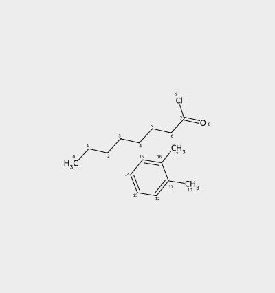 CCCCCCCC(=O)Cl.Cc1ccccc1C